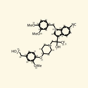 [C-]#[N+]c1ccc2c(C(O)(CN3CCC(Oc4ccc(CC(=O)O)cc4OC)CC3)C(F)(F)F)cn(Cc3ccc(OC)c(OC)c3)c2c1